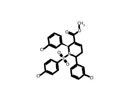 COC(=O)C1=CCC(c2cccc(Cl)c2)N(S(=O)(=O)c2ccc(Cl)cc2)[C@H]1c1cccc(Cl)c1